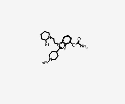 CCCN1CCC(c2nc3c(OC(N)=O)cccc3n2CCN2CCCCC2CC)CC1